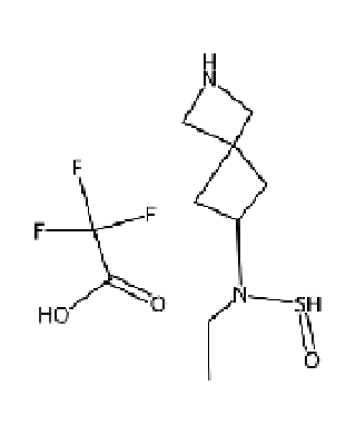 CCN([SH]=O)C1CC2(CNC2)C1.O=C(O)C(F)(F)F